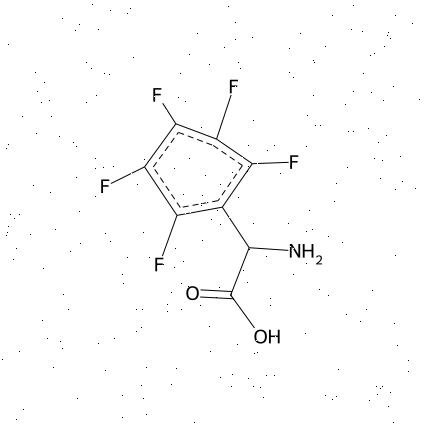 NC(C(=O)O)c1c(F)c(F)c(F)c(F)c1F